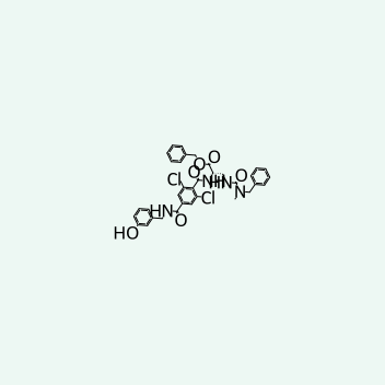 CN(Cc1ccccc1)C(=O)NC[C@H](NC(=O)c1c(Cl)cc(C(=O)NCc2cccc(O)c2)cc1Cl)C(=O)OCc1ccccc1